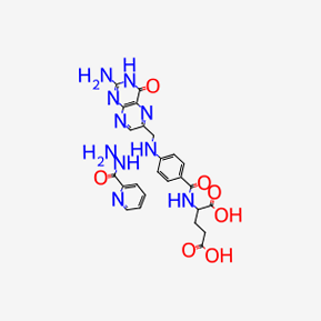 NNC(=O)c1ccccn1.Nc1nc2ncc(CNc3ccc(C(=O)NC(CCC(=O)O)C(=O)O)cc3)nc2c(=O)[nH]1